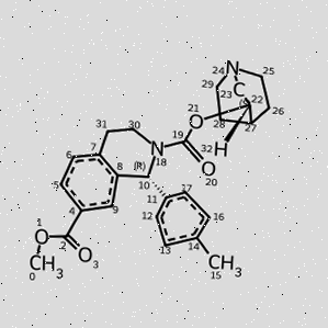 COC(=O)c1ccc2c(c1)[C@@H](c1ccc(C)cc1)N(C(=O)O[C@@H]1CN3CCC1CC3)CC2